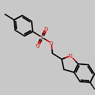 Cc1ccc(S(=O)(=O)OCC2Cc3cc(F)ccc3O2)cc1